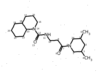 CC1CC(C)CN(C(=O)CCNC(=O)N2CCCC3CCCCC32)C1